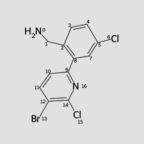 NCc1ccc(Cl)cc1-c1ccc(Br)c(Cl)n1